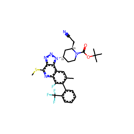 CSc1nc2c(F)c(-c3ccccc3C(F)(F)F)c(C)cc2c2c1nnn2[C@H]1CCN(C(=O)OC(C)(C)C)[C@H](CC#N)C1